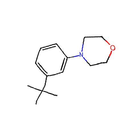 CC(C)(C)c1cccc(N2CCOCC2)c1